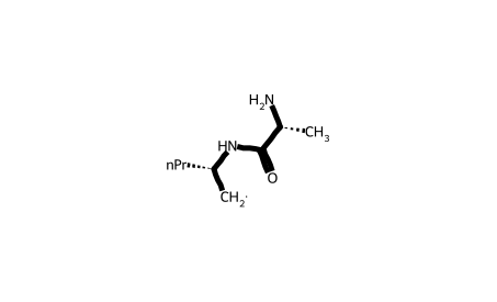 [CH2]CC[C@@H]([CH2])NC(=O)[C@@H](C)N